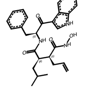 C=CC[C@H](C(=O)NO)[C@@H](CC(C)C)C(=O)N[C@@H](Cc1ccccc1)C(=O)c1c[nH]c2ccccc12